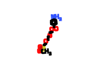 CS(=O)(=O)SCCOCCOCCOC(=O)c1ccc(N)cc1